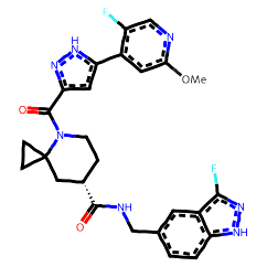 COc1cc(-c2cc(C(=O)N3CC[C@H](C(=O)NCc4ccc5[nH]nc(F)c5c4)CC34CC4)n[nH]2)c(F)cn1